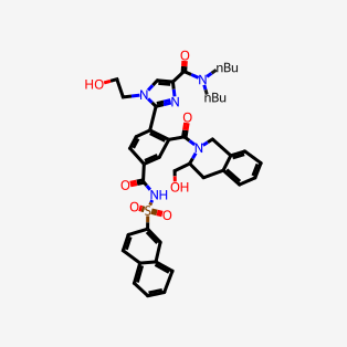 CCCCN(CCCC)C(=O)c1cn(CCO)c(-c2ccc(C(=O)NS(=O)(=O)c3ccc4ccccc4c3)cc2C(=O)N2Cc3ccccc3CC2CO)n1